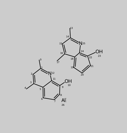 Cc1cc(C)c2cccc(O)c2n1.Cc1cc(C)c2cccc(O)c2n1.[Al]